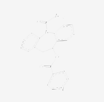 NC(=O)N1c2ccccc2CC(OC(=O)c2ccncc2)c2ccccc21